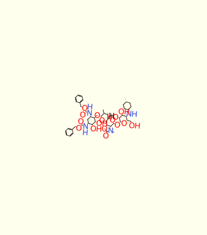 CC1C[C@@H]2OC(O[C@H]3OC(CO)[C@@H](N[C@H]4CC[C@@H](C)CC4)[C@H](O)C3O)C3C(OC(=O)N3C)C2O[C@@H]1O[C@@H]1C(NC(=O)OCc2ccccc2)C[C@@H](NC(=O)OCc2ccccc2)C(O)[C@H]1O